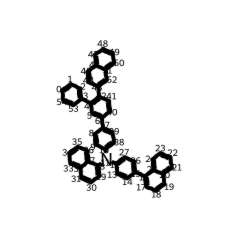 c1ccc(-c2cc(-c3ccc(N(c4ccc(-c5cccc6ccccc56)cc4)c4cccc5ccccc45)cc3)ccc2-c2ccc3ccccc3c2)cc1